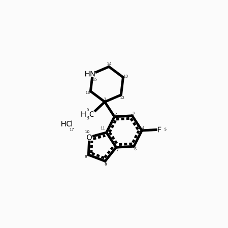 CC1(c2cc(F)cc3ccoc23)CCCNC1.Cl